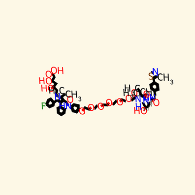 Cc1ncsc1-c1ccc(CNC(=O)[C@@H]2C[C@@H](O)CN2C(=O)C(NC(=O)COCCOCCOCCOCCOCCOc2ccc(NC(=O)c3c(-c4ccccc4)c(-c4ccc(F)cc4)n(CCC(O)CC(O)CC(=O)O)c3C(C)C)cc2)C(C)(C)C)cc1